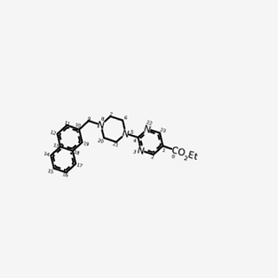 CCOC(=O)c1cnc(N2CCN(Cc3ccc4ccccc4c3)CC2)nc1